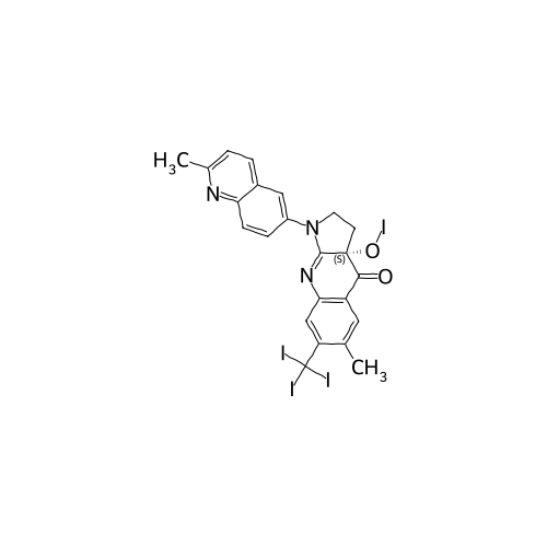 Cc1ccc2cc(N3CC[C@@]4(OI)C(=O)c5cc(C)c(C(I)(I)I)cc5N=C34)ccc2n1